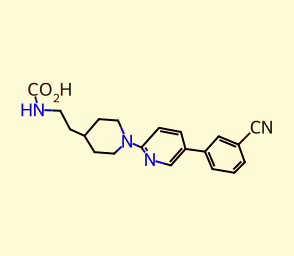 N#Cc1cccc(-c2ccc(N3CCC(CCNC(=O)O)CC3)nc2)c1